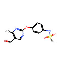 Cc1nc(Oc2ccc(NS(C)(=O)=O)cc2)ncc1C=O